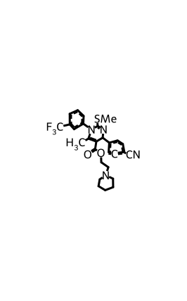 CSC1=NC(c2ccc(C#N)cc2)C(C(=O)OCCN2CCCCC2)=C(C)N1c1cccc(C(F)(F)F)c1